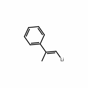 [Li][CH]=C(C)c1ccccc1